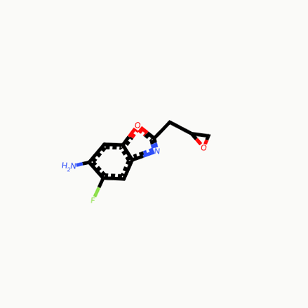 Nc1cc2oc(CC3CO3)nc2cc1F